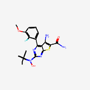 COc1cccc(-c2nc(N(O)C(C)(C)C)nc3sc(C(N)=O)c(N)c23)c1F